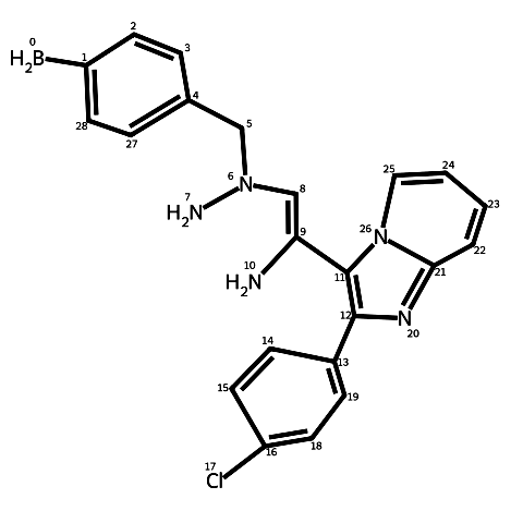 Bc1ccc(CN(N)/C=C(\N)c2c(-c3ccc(Cl)cc3)nc3ccccn23)cc1